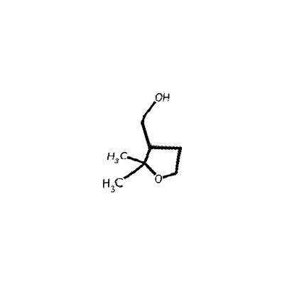 CC1(C)OCCC1CO